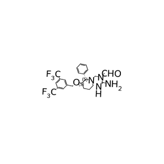 N=C(N)N(C=O)CN1CCC[C@H](OCc2cc(C(F)(F)F)cc(C(F)(F)F)c2)[C@@H]1c1ccccc1